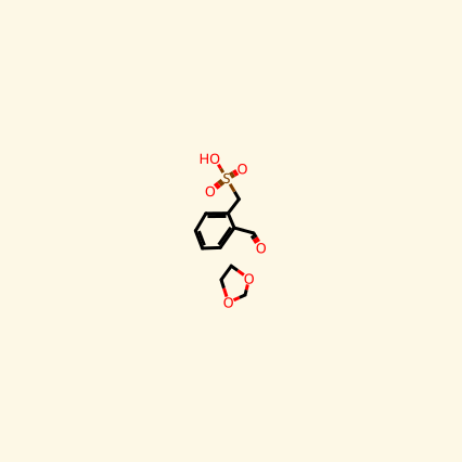 C1COCO1.O=Cc1ccccc1CS(=O)(=O)O